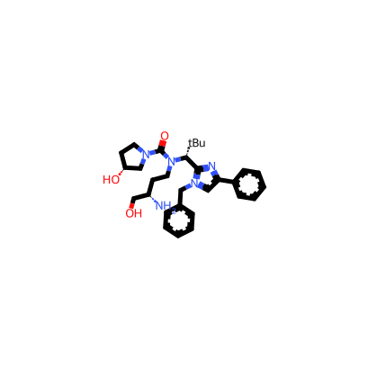 CC(C)(C)[C@H](c1nc(-c2ccccc2)cn1Cc1ccccc1)N(CC[C@H](N)CO)C(=O)N1CC[C@@H](O)C1